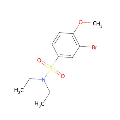 CCN(CC)S(=O)(=O)c1ccc(OC)c(Br)c1